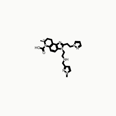 C[C@H]1CCc2c(ccc3c2nc(CCn2cccn2)n3CCNCc2ccn(C)n2)N1C(=O)O